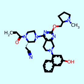 C=CC(=O)N1CCN(c2nc(OCC3CCCN3C)nc3c2CCN(c2cc(O)cc4ccccc24)C3)C[C@@H]1CC#N